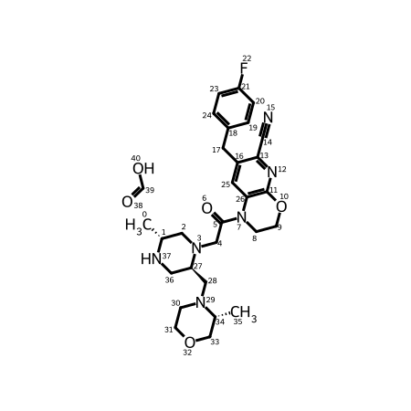 C[C@@H]1CN(CC(=O)N2CCOc3nc(C#N)c(Cc4ccc(F)cc4)cc32)[C@@H](CN2CCOC[C@H]2C)CN1.O=CO